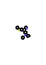 c1ccc(-n2c3ccccc3c3cc4c(cc32)c2cc3sc5ccccc5c3cc2c2cccnc24)cc1